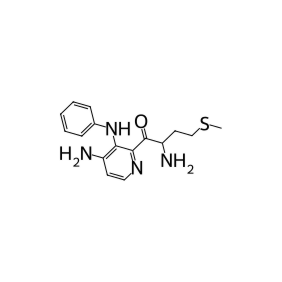 CSCCC(N)C(=O)c1nccc(N)c1Nc1ccccc1